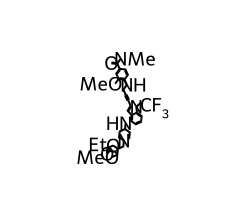 CCC(=O)OC(COC)CN1CCC(Nc2cccc3c2cc(C#CCNc2ccc(C(=O)NC)cc2OC)n3CC(F)(F)F)CC1